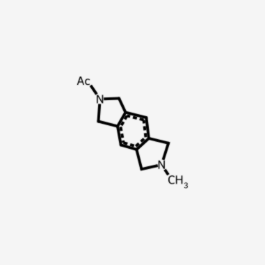 CC(=O)N1Cc2cc3c(cc2C1)CN(C)C3